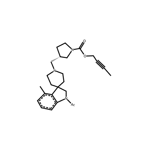 CC#CCOC(=O)N1CC[C@@H](CN2CCC3(CC2)CN(C(C)=O)c2cccc(C)c23)C1